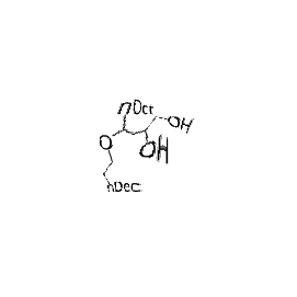 CCCCCCCCCCCCOC(CCCCCCCC)C(O)CO